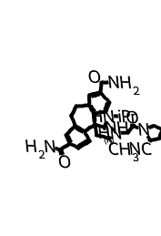 CC(C)NC(=N)C1(C[C@@H](C)NCC(=O)N2CCCC2C#N)c2ccc(C(N)=O)cc2CCc2cc(C(N)=O)ccc21